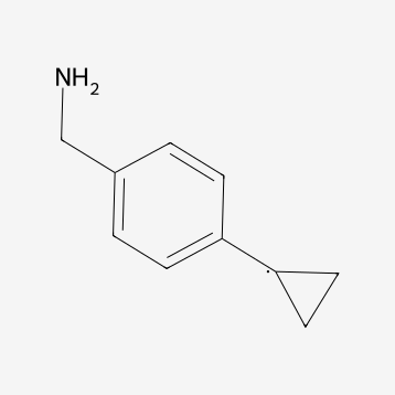 NCc1ccc([C]2CC2)cc1